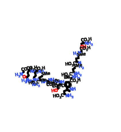 CCCN[C@@H](CCO)C(=O)O.CC[C@H](C)[C@H](N)C(=O)O.CC[C@H](C)[C@H](N)C(=O)O.CC[C@H](C)[C@H](N)C(=O)O.CSCC[C@H](N)C(=O)O.CSCC[C@H](N)C(=O)O.CSCC[C@H](N)C(=O)O.N=C(N)NCCC[C@H](N)C(=O)O.NC(=O)CC[C@H](N)C(=O)O.NCC(=O)O.NCC(=O)O.N[C@@H](CO)C(=O)O.N[C@@H](Cc1c[nH]c2ccccc12)C(=O)O